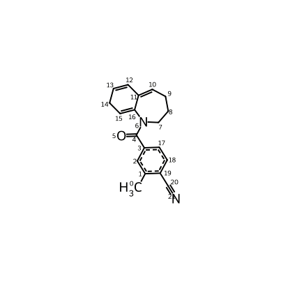 Cc1cc(C(=O)N2CCCC=C3C=CCC=C32)ccc1C#N